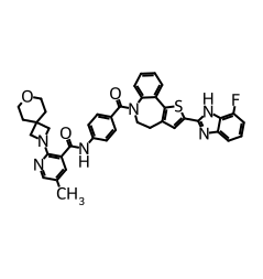 Cc1cnc(N2CC3(CCOCC3)C2)c(C(=O)Nc2ccc(C(=O)N3CCc4cc(-c5nc6cccc(F)c6[nH]5)sc4-c4ccccc43)cc2)c1